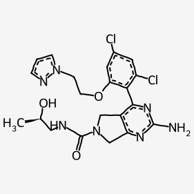 C[C@@H](O)CNC(=O)N1Cc2nc(N)nc(-c3c(Cl)cc(Cl)cc3OCCn3cccn3)c2C1